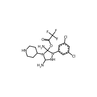 NC1NN(c2cc(Cl)cc(Cl)c2)C(N)(OC(=O)C(F)(F)F)N1C1CCNCC1